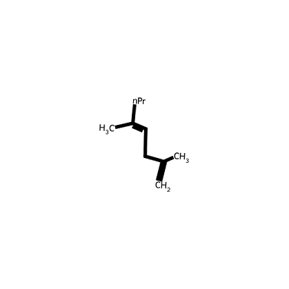 C=C(C)CC=C(C)CCC